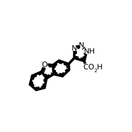 O=C(O)c1[nH]nnc1-c1ccc2c(c1)oc1ccccc12